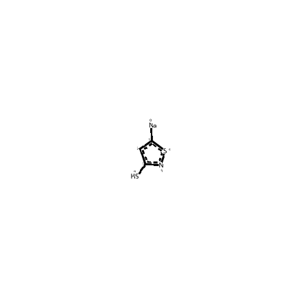 [Na][c]1cc(S)ns1